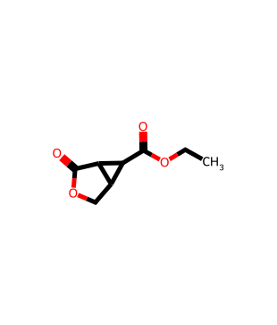 CCOC(=O)C1C2COC(=O)C21